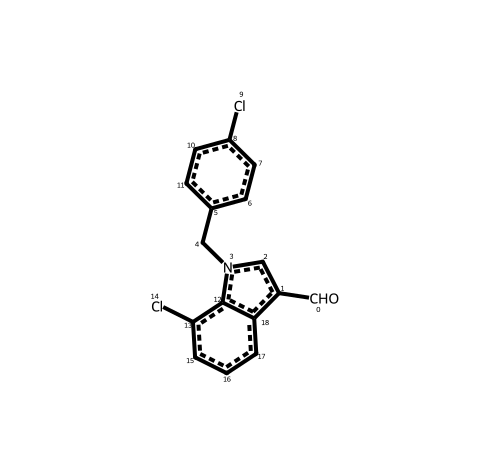 O=Cc1cn(Cc2ccc(Cl)cc2)c2c(Cl)cccc12